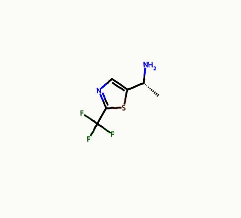 C[C@@H](N)c1cnc(C(F)(F)F)s1